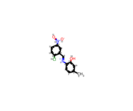 Cc1ccc(/N=C/c2cc([N+](=O)[O-])ccc2Cl)c(O)c1